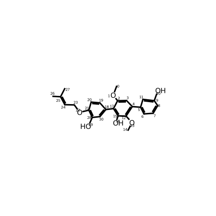 COc1cc(-c2cccc(O)c2)c(OC)c(O)c1-c1ccc(OCC=C(C)C)c(O)c1